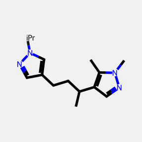 Cc1c(C(C)CCc2cnn(C(C)C)c2)cnn1C